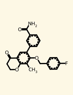 Cc1c2c(cc(-c3cccc(C(N)=O)c3)c1OCc1ccc(F)cc1)C(=O)CCO2